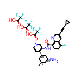 C[C@@H]1C[C@H](N)C[C@H](c2ccncc2NC(=O)c2ccc(F)c3cc(C#CC4CC4)cnc23)C1.O=C(O)C(F)(F)F.O=C(O)C(F)(F)F.O=C(O)C(F)(F)F